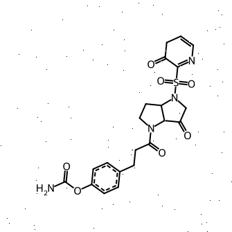 NC(=O)Oc1ccc(C[CH]C(=O)N2CCC3C2C(=O)CN3S(=O)(=O)C2=NC=CCC2=O)cc1